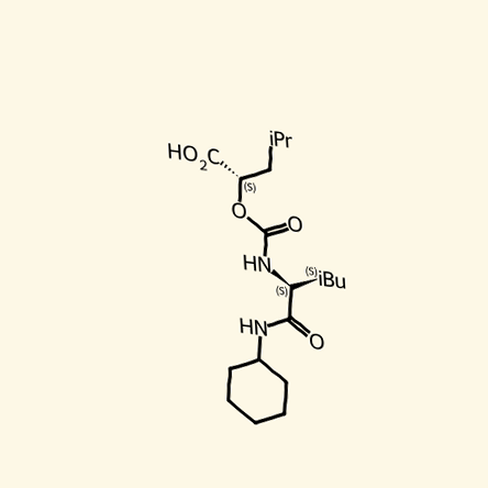 CC[C@H](C)[C@H](NC(=O)O[C@@H](CC(C)C)C(=O)O)C(=O)NC1CCCCC1